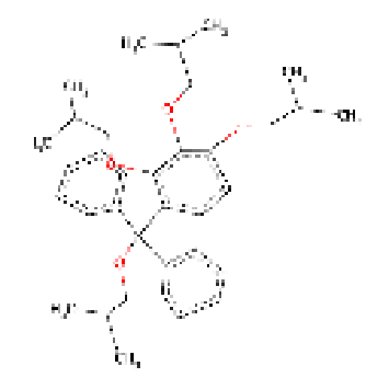 CC(C)COc1ccc(C(OCC(C)C)(c2ccccc2)c2ccccc2)c(OCC(C)C)c1OCC(C)C